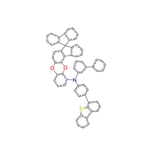 c1ccc(-c2cccc(N(c3ccc(-c4cccc5c4sc4ccccc45)cc3)c3cccc4c3Oc3c(ccc5c3-c3ccccc3C53c5ccccc5-c5ccccc53)O4)c2)cc1